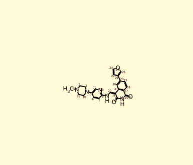 CN1CCN(c2ccc(N/C=C3\C(=O)NC(=O)c4ccc(-c5ccoc5)cc43)nc2)CC1